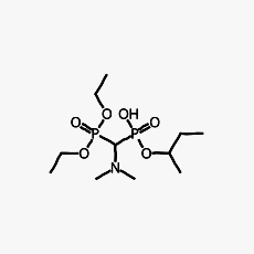 CCOP(=O)(OCC)C(N(C)C)P(=O)(O)OC(C)CC